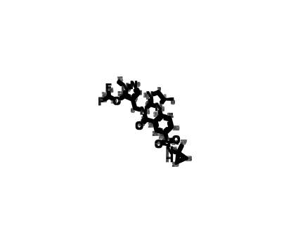 C[C@@H]1CN=C2N(Cc3cnn(C)c3OC(F)F)C(=O)c3cc(S(=O)(=O)NC4(C)CC4)ccc3N21